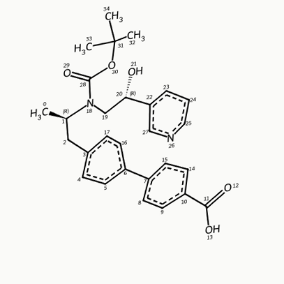 C[C@H](Cc1ccc(-c2ccc(C(=O)O)cc2)cc1)N(C[C@H](O)c1cccnc1)C(=O)OC(C)(C)C